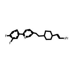 CCC/C=C/C1CCC(CCc2ccc(-c3ccc(F)c(F)c3)nc2)CC1